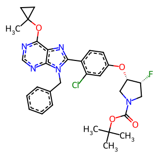 CC(C)(C)OC(=O)N1C[C@@H](F)[C@@H](Oc2ccc(-c3nc4c(OC5(C)CC5)ncnc4n3Cc3ccccc3)c(Cl)c2)C1